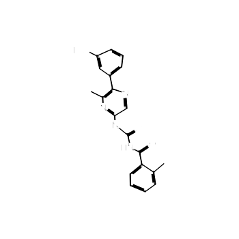 Cc1ccccc1C(=O)NC(=O)Nc1cnc(-c2cccc(C(F)(F)F)c2)c(C)n1